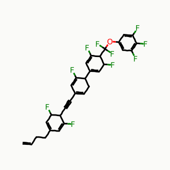 C=CCCC1=CC(F)C(C#CC2=CCC(C3=CC(F)C(C(F)(F)Oc4cc(F)c(F)c(F)c4)C(F)=C3)C(F)=C2)C(F)=C1